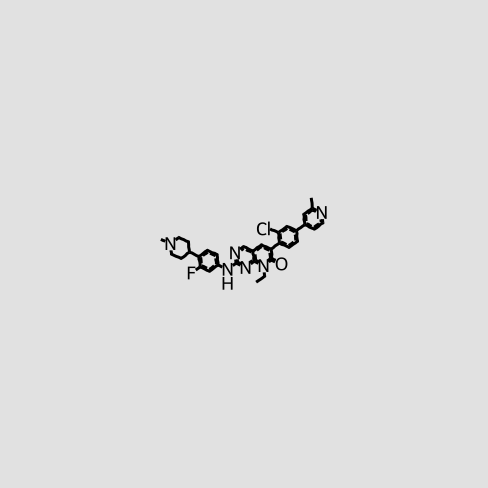 CCn1c(=O)c(-c2ccc(-c3ccnc(C)c3)cc2Cl)cc2cnc(Nc3ccc(C4CCN(C)CC4)c(F)c3)nc21